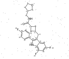 O=C(NCC1CCOC1)C1CC(Cc2c(-c3ccc(F)cc3)[nH]c3c(F)cc(F)cc23)C1